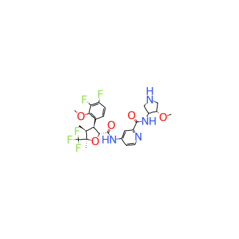 COc1c([C@H]2[C@H](C(=O)Nc3ccnc(C(=O)N[C@H]4CNC[C@@H]4OC)c3)O[C@@](C)(C(F)(F)F)[C@H]2C)ccc(F)c1F